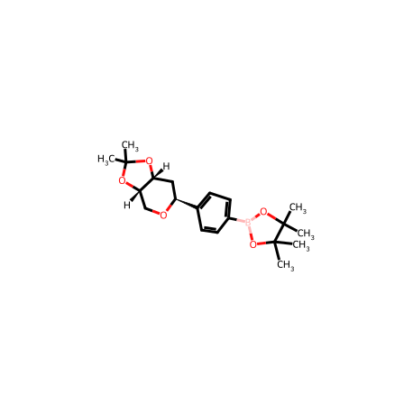 CC1(C)O[C@H]2CO[C@H](c3ccc(B4OC(C)(C)C(C)(C)O4)cc3)C[C@H]2O1